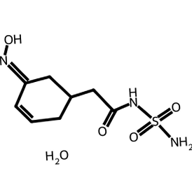 NS(=O)(=O)NC(=O)CC1CC=CC(=NO)C1.O